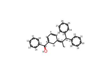 CC(=C1C=CC=C(C(=O)c2ccccc2)C1)C(c1ccccc1)c1ccccc1